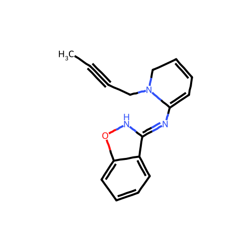 CC#CCN1CC=CC=C1N=c1[nH]oc2ccccc12